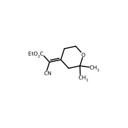 CCOC(=O)/C(C#N)=C1\CCOC(C)(C)C1